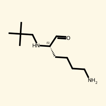 CC(C)(C)CN[C@H](C=O)CCCCN